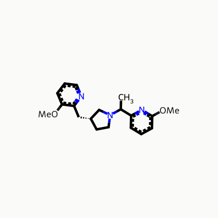 COc1cccc(C(C)N2CC[C@H](Cc3ncccc3OC)C2)n1